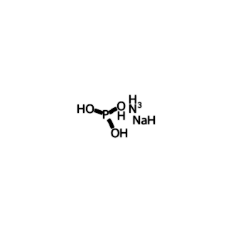 N.OP(O)O.[NaH]